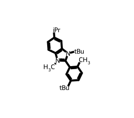 Cc1ccc(C(C)(C)C)cc1-c1n(C(C)(C)C)c2cc(C(C)C)ccc2[n+]1C